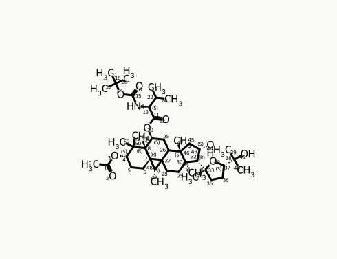 CC(=O)O[C@H]1CC[C@@]23[C@@H]([C@@H](OC(=O)[C@@H](NC(=O)OC(C)(C)C)C(C)C)CC4C2(CC[C@]2(C)[C@@H]([C@@]5(C)CC[C@@H](C(C)(C)O)O5)[C@@H](O)C[C@@]42C)[C@@H]3C)C1(C)C